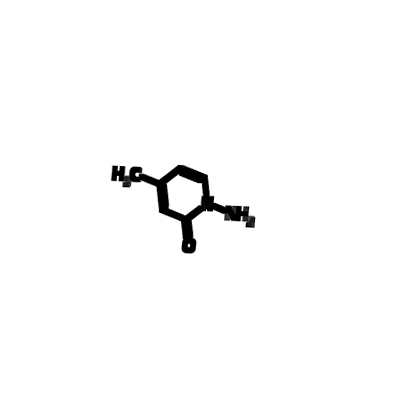 Cc1ccn(N)c(=O)c1